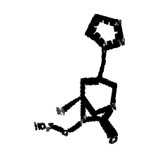 O=C1N2CC(n3ccnn3)=C[C@H](C2)N1OS(=O)(=O)O